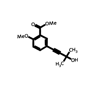 COC(=O)c1cc(C#CC(C)(C)O)ccc1OC